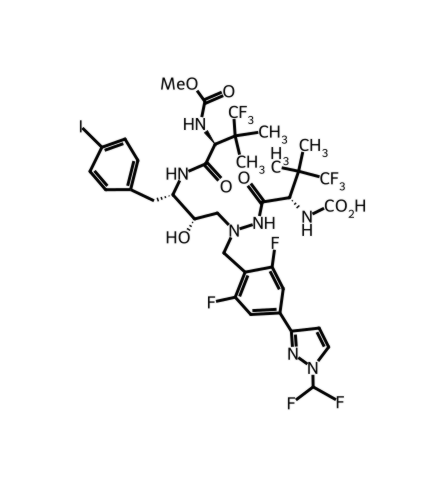 COC(=O)N[C@H](C(=O)N[C@@H](Cc1ccc(I)cc1)[C@@H](O)CN(Cc1c(F)cc(-c2ccn(C(F)F)n2)cc1F)NC(=O)[C@@H](NC(=O)O)C(C)(C)C(F)(F)F)C(C)(C)C(F)(F)F